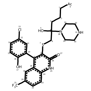 CC(=O)CCCC(O)(CSc1c(-c2cc(Cl)ccc2O)c2cc(C(F)(F)F)ccc2[nH]c1=O)N1CCNCC1